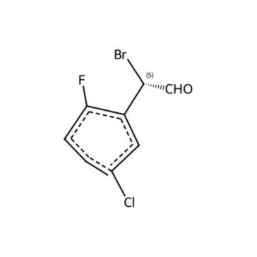 O=C[C@@H](Br)c1cc(Cl)ccc1F